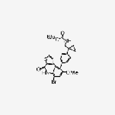 COc1cc(Br)c2[nH]c(=O)c3sccc3c2c1-c1ccc(C2(CNC(=O)OC(C)(C)C)CC2)cc1